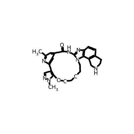 Cc1cc2cc(n1)-c1cnn(C)c1OCCCCCn1c(nc3ccc4c(c31)CNCC4)NC2=O